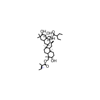 C=CCC1[C@@]2(C)CC[C@H](O)[C@](C)(COC(=O)/C(C)=C/C)C2CC[C@@]1(C)[C@@]1(C)CC2CC(C)(C)[C@@H](O)[C@H](O)[C@]2(COC(=O)C(CC)CC)[C@H](O)C1